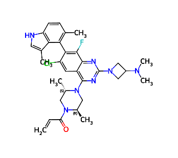 C=CC(=O)N1C[C@H](C)N(c2nc(N3CC(N(C)C)C3)nc3c(F)c(-c4c(C)ccc5[nH]cc(C)c45)c(Cl)cc23)C[C@H]1C